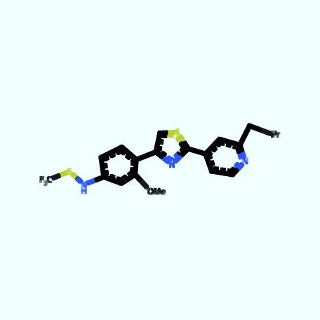 COc1cc(NSC(F)(F)F)ccc1-c1csc(-c2ccnc(CC(C)C)c2)n1